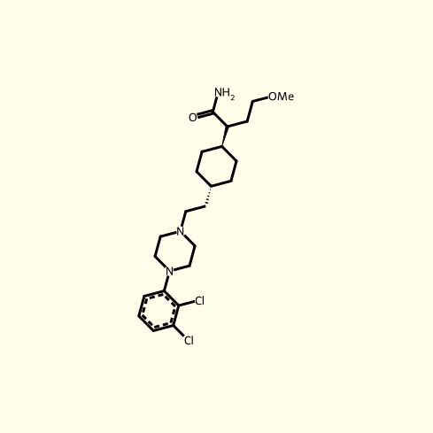 COCCC(C(N)=O)[C@H]1CC[C@H](CCN2CCN(c3cccc(Cl)c3Cl)CC2)CC1